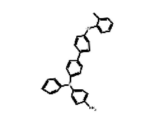 Cc1ccccc1Nc1ccc(-c2ccc(N(c3ccccc3)c3ccc(N)cc3)cc2)cc1